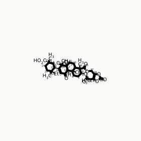 CCC(=O)O[C@H]1CC[C@@]2(C)C(CC[C@]3(C)[C@@H]2C(=O)C=C([C@@H]2C[C@@](C)(C(=O)O)CC[C@]2(C)CC)C3(C)C)[C@]1(C)C(=O)OCc1oc(=O)oc1C